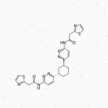 O=C(Cc1nccs1)Nc1ccc([C@H]2CCC[C@H](c3ccc(NC(=O)Cc4nccs4)nn3)C2)nn1